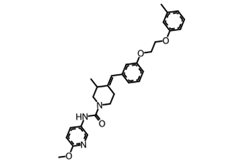 COc1ccc(NC(=O)N2CCC(=Cc3cccc(OCCOc4cccc(C)c4)c3)C(C)C2)cn1